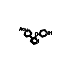 CC(=O)N1CCC(c2cccnc2OC2CCNCC2)CC1